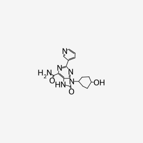 NC(=O)c1nc(-c2cccnc2)nc2c1[nH]c(=O)n2C1CCC(O)CC1